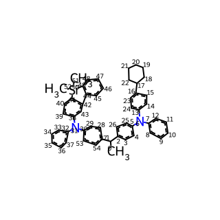 CC(c1ccc(N(c2ccccc2)c2ccc(C3CCCCC3)cc2)cc1)c1ccc(N(c2ccccc2)c2ccc3c(c2)-c2ccccc2[Si]3(C)C)cc1